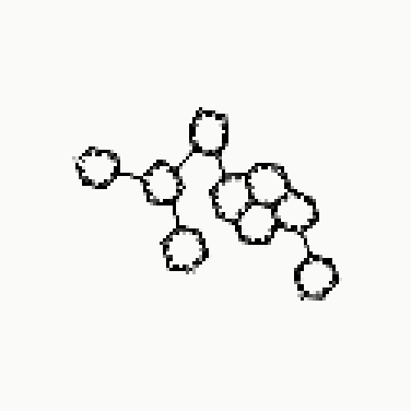 c1cncc(-c2ccc3ccc4c(-c5ccccc5-c5cc(-c6ccncc6)cc(-c6ccncc6)c5)ccc5ccc2c3c54)c1